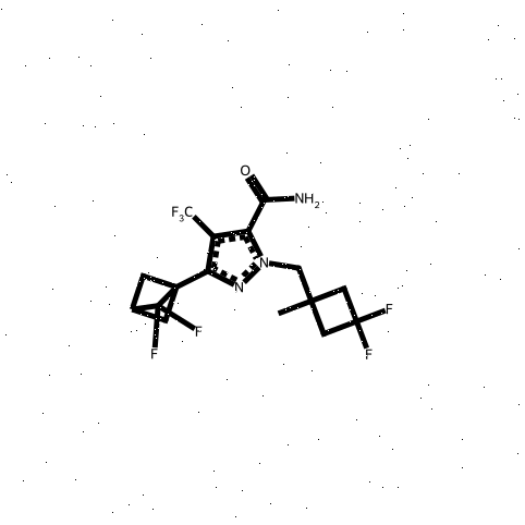 CC1(Cn2nc(C34CC(C3)C4(F)F)c(C(F)(F)F)c2C(N)=O)CC(F)(F)C1